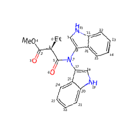 CC[C@H](C(=O)OC)C(=O)N(c1c[nH]c2ccccc12)c1c[nH]c2ccccc12